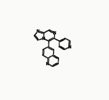 c1cnc2ccc(-c3c(-c4ccncc4)ncc4nccn34)cc2c1